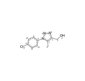 Cc1c(CO)nnn1-c1ccc(Cl)cc1